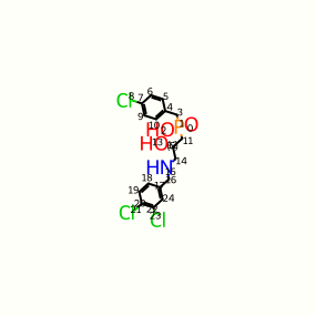 O=P(O)(Cc1ccc(Cl)cc1)C[C@@H](O)CNCc1ccc(Cl)c(Cl)c1